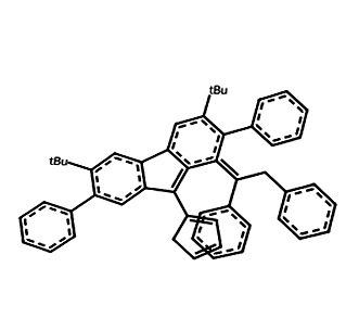 CC(C)(C)c1cc2c(cc1-c1ccccc1)C(C1=CC=CC1)=c1c-2cc(C(C)(C)C)c(-c2ccccc2)c1=C(Cc1ccccc1)c1ccccc1